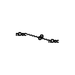 CCCCCCCCCCCCCCCCCCCCCOC(=O)CCCCCCCCCCCCCCCC